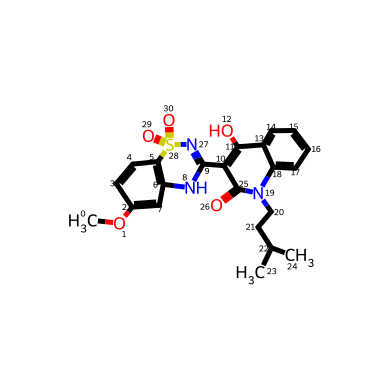 COc1ccc2c(c1)NC(c1c(O)c3ccccc3n(CCC(C)C)c1=O)=NS2(=O)=O